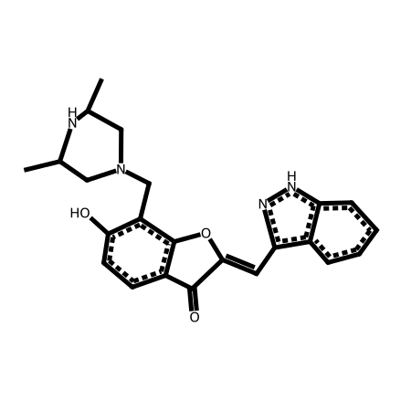 CC1CN(Cc2c(O)ccc3c2O/C(=C\c2n[nH]c4ccccc24)C3=O)CC(C)N1